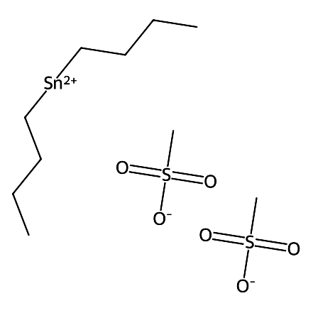 CCC[CH2][Sn+2][CH2]CCC.CS(=O)(=O)[O-].CS(=O)(=O)[O-]